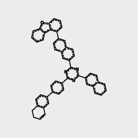 C1=Cc2cc(-c3ccc(-c4nc(-c5ccc6ccccc6c5)nc(-c5ccc6cc(-c7cccc8oc9ccccc9c78)ccc6c5)n4)cc3)ccc2CC1